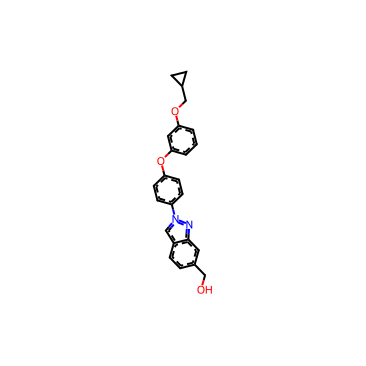 OCc1ccc2cn(-c3ccc(Oc4cccc(OCC5CC5)c4)cc3)nc2c1